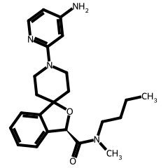 CCCCN(C)C(=O)[C@@H]1OC2(CCN(c3cc(N)ccn3)CC2)c2ccccc21